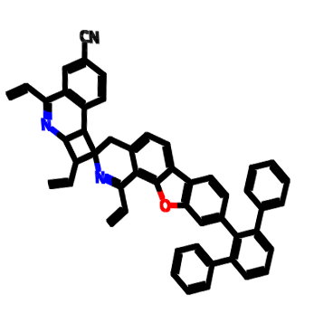 C=CC1=NC2C(C=C)C3(Cc4ccc5c(oc6cc(-c7c(-c8ccccc8)cccc7-c7ccccc7)ccc65)c4C(C=C)=N3)C2c2ccc(C#N)cc21